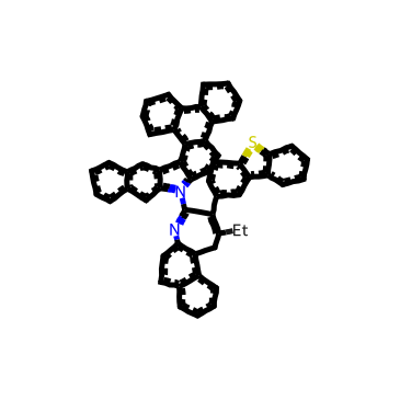 CCC1=C(c2ccc3sc4ccccc4c3c2)C(n2c3cc4ccccc4cc3c3c4c5ccccc5c5ccccc5c4ccc32)=Nc2ccc3ccccc3c2C1